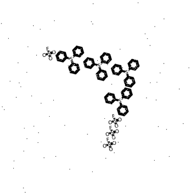 O=S(=O)([O-])F.O=S(=O)([O-])F.O=S(=O)([O-])F.O=S(=O)([O-])F.c1ccc([S+](c2ccccc2)c2ccccc2)cc1.c1ccc([S+](c2ccccc2)c2ccccc2)cc1.c1ccc([S+](c2ccccc2)c2ccccc2)cc1.c1ccc([S+](c2ccccc2)c2ccccc2)cc1